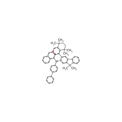 CC1(C)CCC(C)(C)c2c(-c3cc4c(cc3N(c3ccc(-c5ccccc5)cc3)c3cccc5ccccc35)C(C)(C)c3ccccc3-4)cccc21